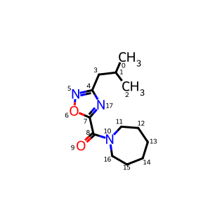 CC(C)Cc1noc(C(=O)N2CCCCCC2)n1